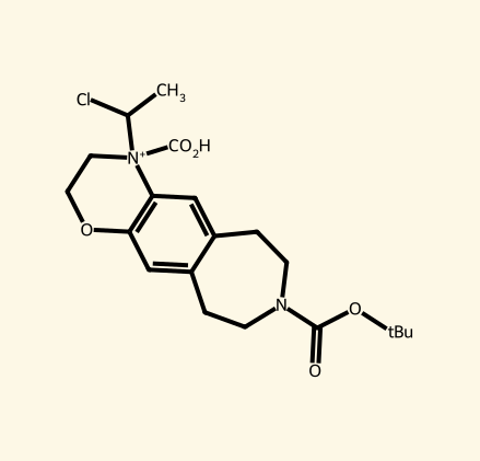 CC(Cl)[N+]1(C(=O)O)CCOc2cc3c(cc21)CCN(C(=O)OC(C)(C)C)CC3